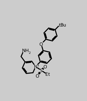 CCS(=O)(=O)[N+]1(c2cccc(Oc3ccc(C(C)(C)C)cc3)c2)C=C(CN)C=CC1